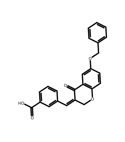 O=C(O)c1cccc(C=C2COc3ccc(OCc4ccccc4)cc3C2=O)c1